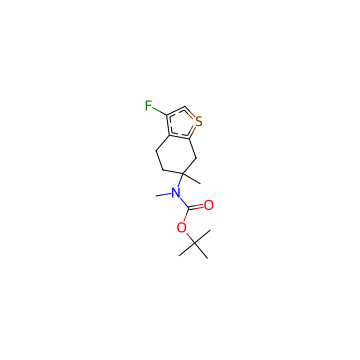 CN(C(=O)OC(C)(C)C)C1(C)CCc2c(F)csc2C1